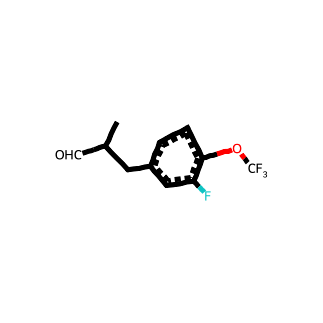 CC(C=O)Cc1ccc(OC(F)(F)F)c(F)c1